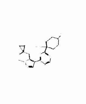 Cn1ncc(-c2ccnc(C3(N)CCC(N)CC3)n2)c1CC1(C)CC1